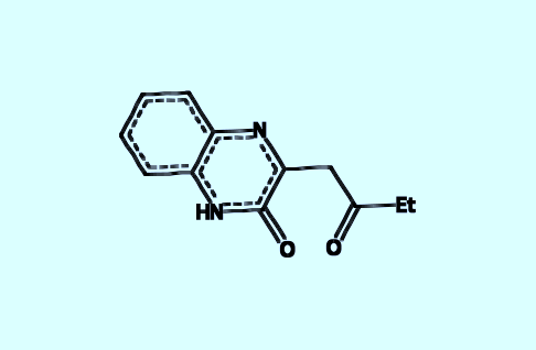 CCC(=O)Cc1nc2ccccc2[nH]c1=O